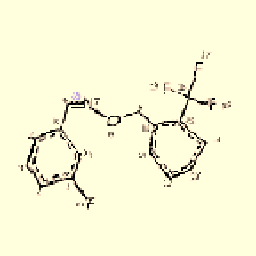 Fc1cccc(/[C]=N\OCc2ccccc2C(F)(F)F)c1